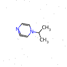 CC(C)N1C=C=NC=C1